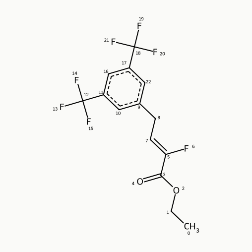 CCOC(=O)C(F)=CCc1cc(C(F)(F)F)cc(C(F)(F)F)c1